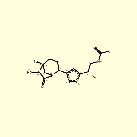 C=C(C)NC[C@H](C)c1cc([C@@H]2CC[C@@H]3CN2C(=O)N3O)no1